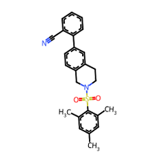 Cc1cc(C)c(S(=O)(=O)N2CCc3cc(-c4ccccc4C#N)ccc3C2)c(C)c1